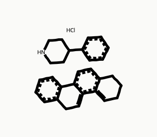 C1=c2c(ccc3c2=CCc2ccccc2-3)CCC1.Cl.c1ccc(C2CCNCC2)cc1